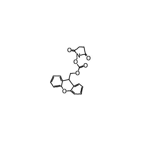 O=C(OCC1c2ccccc2Oc2ccccc21)ON1C(=O)CCC1=O